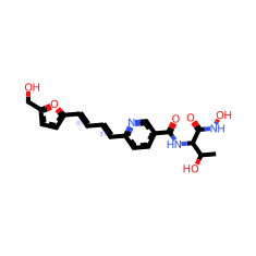 CC(O)C(NC(=O)c1ccc(/C=C/C=C/c2ccc(CO)o2)nc1)C(=O)NO